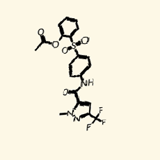 CC(=O)Oc1ccccc1S(=O)(=O)c1ccc(NC(=O)c2cc(C(F)(F)F)nn2C)cc1